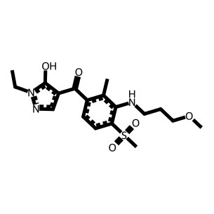 CCn1ncc(C(=O)c2ccc(S(C)(=O)=O)c(NCCCOC)c2C)c1O